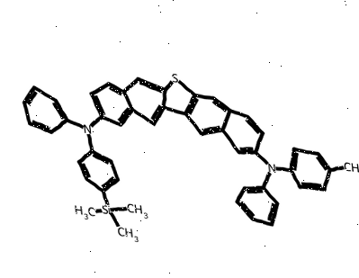 Cc1ccc(N(c2ccccc2)c2ccc3cc4sc5cc6ccc(N(c7ccccc7)c7ccc([Si](C)(C)C)cc7)cc6cc5c4cc3c2)cc1